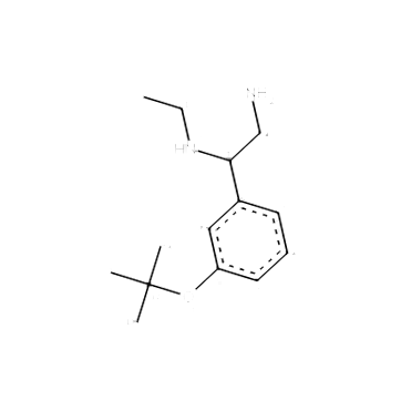 CCNC(CN)c1cccc(OC(C)(C)C)c1